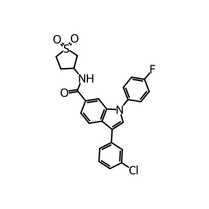 O=C(NC1CCS(=O)(=O)C1)c1ccc2c(-c3cccc(Cl)c3)cn(-c3ccc(F)cc3)c2c1